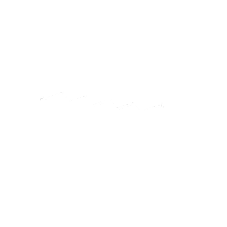 CCC=CC=COCCO